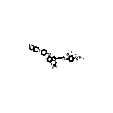 COc1cc(S(N)(=O)=O)ccc1NCC#Cc1cc2c(N[C@H]3CC[C@H](N4CCC5(CCOC5)CC4)CC3)cccc2n1CC(F)(F)F